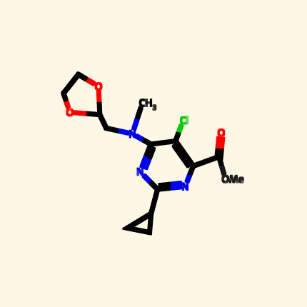 COC(=O)c1nc(C2CC2)nc(N(C)CC2OCCO2)c1Cl